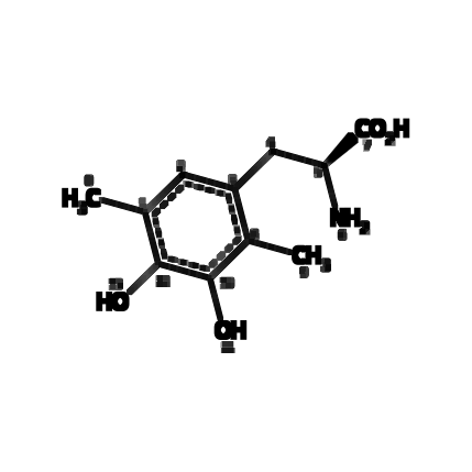 Cc1cc(C[C@H](N)C(=O)O)c(C)c(O)c1O